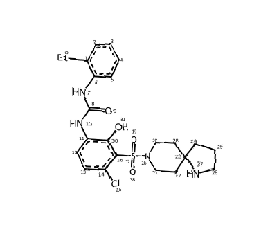 CCc1ccccc1NC(=O)Nc1ccc(Cl)c(S(=O)(=O)N2CCC3(CCCN3)CC2)c1O